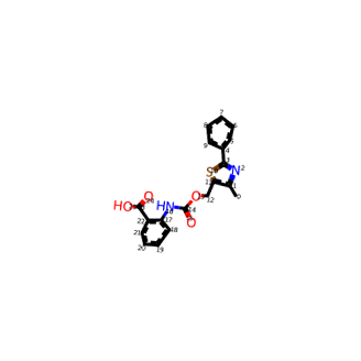 Cc1nc(-c2ccccc2)sc1COC(=O)Nc1ccccc1C(=O)O